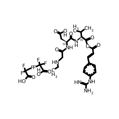 CCNCC(=O)N[C@@H](CC(=O)O)C(=O)N[C@H](C(=O)OC(=O)C=Cc1ccc(NC(=N)N)cc1)C(C)C.O=C(O)C(F)(F)F.O=C(O)C(F)(F)F